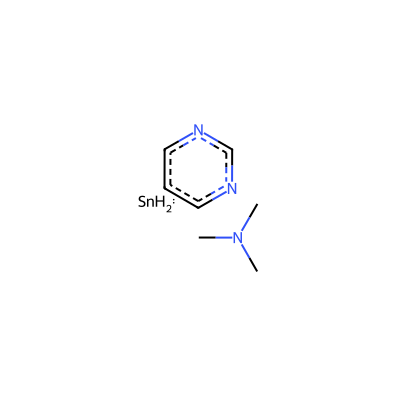 CN(C)C.[SnH2].c1cncnc1